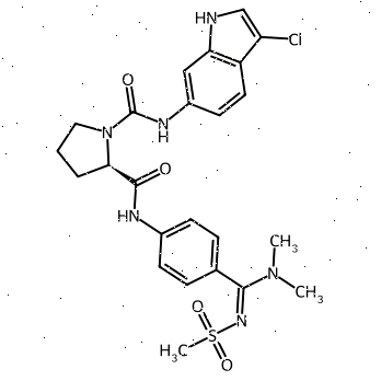 CN(C)/C(=N/S(C)(=O)=O)c1ccc(NC(=O)[C@H]2CCCN2C(=O)Nc2ccc3c(Cl)c[nH]c3c2)cc1